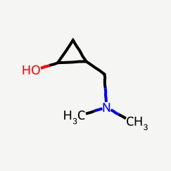 CN(C)CC1CC1O